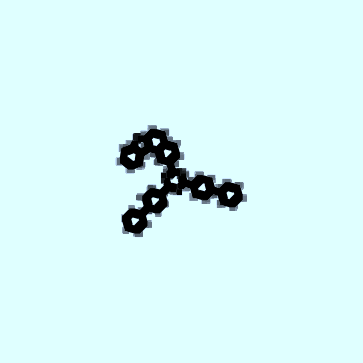 c1ccc(-c2ccc(-c3nc(-c4ccc(-c5ccccc5)cc4)nc(-c4ccc5ccc6sc7ccccc7c6c5c4)n3)cc2)cc1